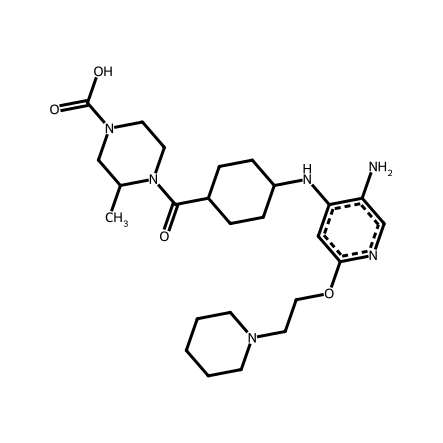 CC1CN(C(=O)O)CCN1C(=O)C1CCC(Nc2cc(OCCN3CCCCC3)ncc2N)CC1